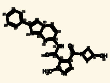 Cn1ncc(C(=O)N2CC(O)C2)c1C(=O)Nc1ccn2cc(-c3ccccc3)nc2n1